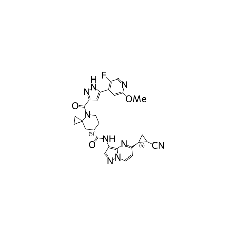 COc1cc(-c2cc(C(=O)N3CC[C@H](C(=O)Nc4cnn5ccc([C@H]6CC6C#N)nc45)CC34CC4)n[nH]2)c(F)cn1